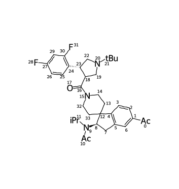 CC(=O)c1ccc2c(c1)C[C@@H](N(C(C)=O)C(C)C)C21CCN(C(=O)C2CN(C(C)(C)C)C[C@H]2c2ccc(F)cc2F)CC1